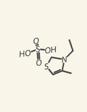 CCN1CSC=C1C.O=S(=O)(O)O